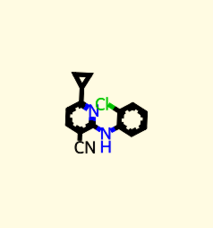 N#Cc1ccc(C2CC2)nc1Nc1ccccc1Cl